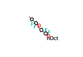 CCCCCCCCOc1ccc(-c2ccc(COc3ccc(-c4ccc(C)cc4)c(F)c3F)cc2)c(F)c1F